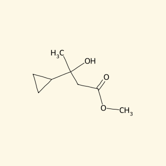 COC(=O)CC(C)(O)C1CC1